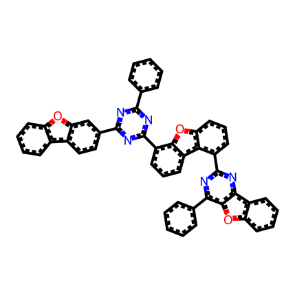 c1ccc(-c2nc(-c3ccc4c(c3)oc3ccccc34)nc(-c3cccc4c3oc3cccc(-c5nc(-c6ccccc6)c6oc7ccccc7c6n5)c34)n2)cc1